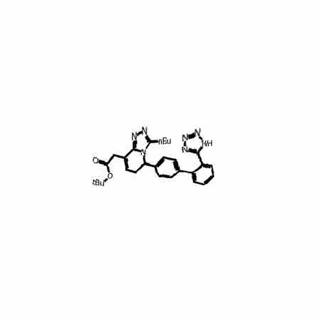 CCCCc1nnc2n1C(c1ccc(-c3ccccc3-c3nnn[nH]3)cc1)CC=C2CC(=O)OC(C)(C)C